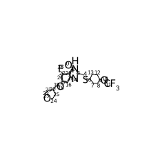 O=c1[nH]c(CS[C@H]2CC[C@H](OC(F)(F)F)CC2)nc2cc(OCC3CCOCC3)cc(F)c12